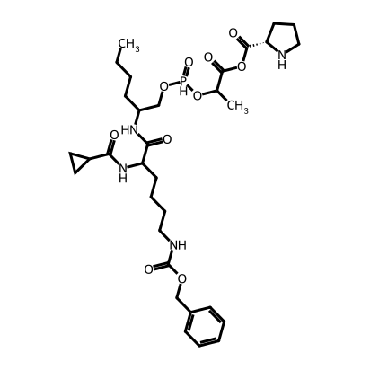 CCCCC(CO[PH](=O)OC(C)C(=O)OC(=O)[C@@H]1CCCN1)NC(=O)C(CCCCNC(=O)OCc1ccccc1)NC(=O)C1CC1